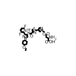 CCOC1CCC(n2cc(NC(=O)c3csc(-c4cnn(COC(=O)C[C@H](N)C(=O)O)c4)n3)c(-c3nc(F)ccc3F)n2)CC1